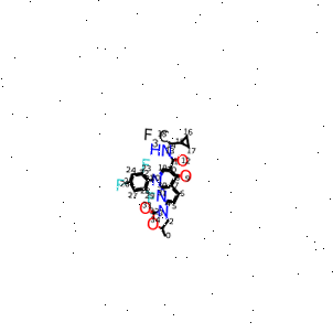 CC1CN(c2ccc3c(=O)c(C(=O)NC(C4CC4)C(F)(F)F)cn(-c4c(F)cc(F)cc4F)c3n2)C(=O)O1